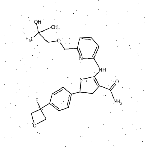 CC(C)(O)COCc1cccc(NC2=C(C(N)=O)CC(c3ccc(C4(F)COC4)cc3)S2)n1